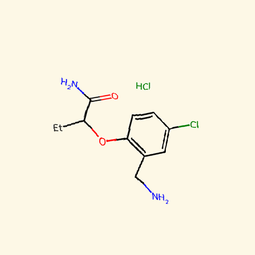 CCC(Oc1ccc(Cl)cc1CN)C(N)=O.Cl